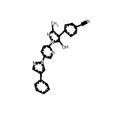 Cc1nn(-c2ccc(-n3cc(-c4ccccc4)cn3)cn2)c(O)c1-c1ccc(C#N)cc1